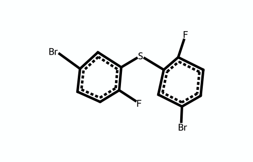 Fc1ccc(Br)cc1Sc1cc(Br)ccc1F